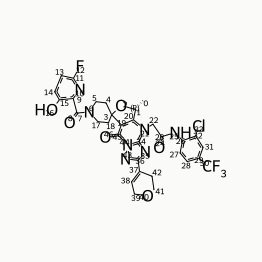 C[C@H]1OC2(CCN(C(=O)c3nc(F)ccc3O)CC2)c2c1n(CC(=O)Nc1ccc(C(F)(F)F)cc1Cl)c1nc(C3=CCOCC3)nn1c2=O